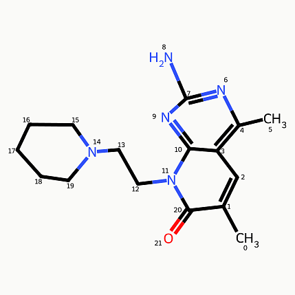 Cc1cc2c(C)nc(N)nc2n(CCN2CCCCC2)c1=O